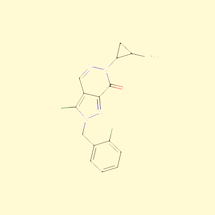 COC1CC1n1ncc2c(Cl)n(Cc3ccccc3F)nc2c1=O